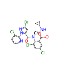 CN(C(=O)c1cc(Br)nn1-c1ncccc1Cl)c1c(Cl)cc(Cl)cc1C(=O)ONC1CC1